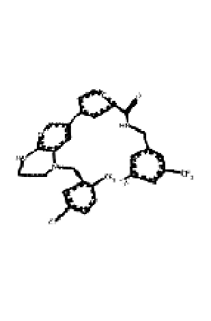 O=C(NCc1cc(C(F)(F)F)cc(C(F)(F)F)c1)c1cccc(-c2cnc3c(c2)N(Cc2cc(Cl)ccc2C(F)(F)F)CCN3)c1